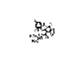 C[C@@H](CO)ONC(O)c1c(Nc2ccc(I)cc2F)n(C)c(=O)c2ccoc12